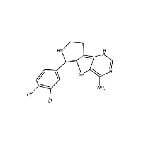 NC1=C2[Se]C3C(=C2NC=N1)CCNC3c1ccc(Cl)c(Cl)c1